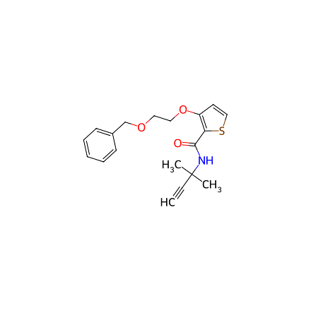 C#CC(C)(C)NC(=O)c1sccc1OCCOCc1ccccc1